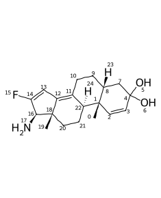 C[C@]12C=CC(O)(O)C[C@H]1CCC1=C3C=C(F)[C@H](N)[C@@]3(C)CC[C@@H]12